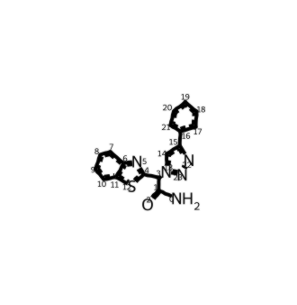 NC(=O)C(c1nc2ccccc2s1)n1cc(-c2ccccc2)nn1